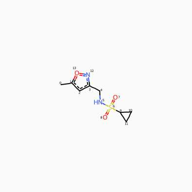 Cc1cc(CNS(=O)(=O)C2CC2)no1